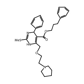 CSC1=NC(c2ccccc2)C(C(=O)OCCCc2ccccc2)=C(COCCN2CCCCC2)N1